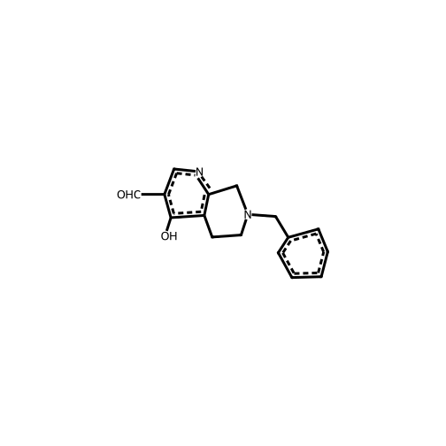 O=Cc1cnc2c(c1O)CCN(Cc1ccccc1)C2